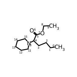 CCCCC(C(=O)OCC)N1CCCCC1